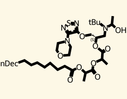 CCCCCCCCCCCCCCCCCC(=O)OC(C)C(=O)OC(C)C(=O)O[C@H](COc1nsnc1N1CCOCC1)CN(C(C)O)C(C)(C)C